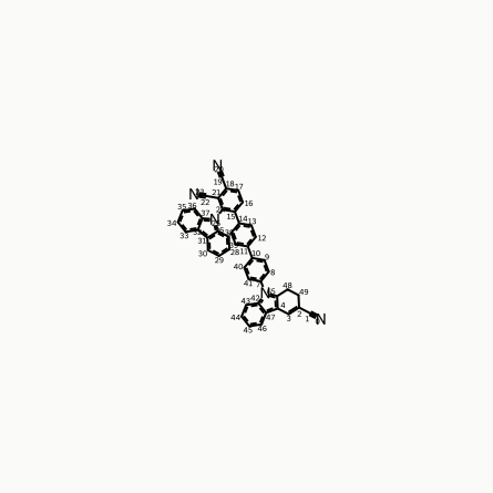 N#CC1=Cc2c(n(-c3ccc(-c4ccc(-c5ccc(C#N)c(C#N)c5-n5c6ccccc6c6ccccc65)cc4)cc3)c3ccccc23)CC1